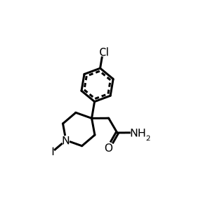 NC(=O)CC1(c2ccc(Cl)cc2)CCN(I)CC1